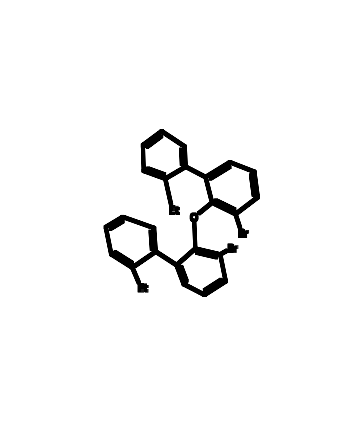 CCc1ccccc1-c1cccc(Br)c1Oc1c(Br)cccc1-c1ccccc1CC